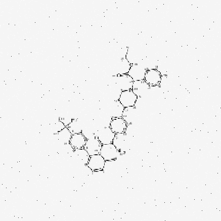 C=C1C=CC=C(c2ccc(C(F)(F)F)cc2)N1C(=O)N(N)c1ccc(C2CCN(C(C(=O)OCC)c3ccccc3)CC2)cc1